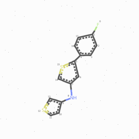 Fc1ccc(-c2cc(Nc3ccsc3)cs2)cc1